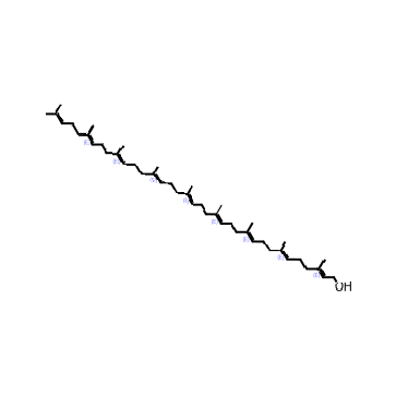 CC(C)=CCC/C(C)=C/CC/C(C)=C/CC/C(C)=C/CC/C(C)=C/CC/C(C)=C/CC/C(C)=C/CC/C(C)=C/CC/C(C)=C/CO